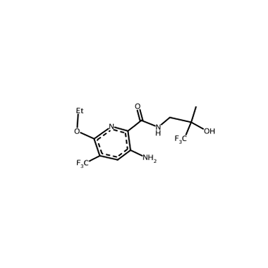 CCOc1nc(C(=O)NCC(C)(O)C(F)(F)F)c(N)cc1C(F)(F)F